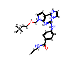 CCCNC(=O)c1ccc(Nc2nc3c(ccn3COCC[Si](C)(C)C)c3nccn23)cc1